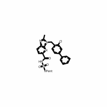 CCCCCS(=O)(=O)NC(=O)c1ccc2nc(C)n(Cc3ccc(-c4ccccc4)cc3Cl)c2n1